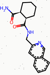 NC(=O)[C@H]1CCCC[C@H]1C(=O)NCc1cc2ccccc2cn1